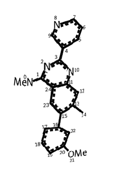 CNc1nc(-c2cccnc2)nc2cc(C)c(-c3cccc(OC)c3)cc12